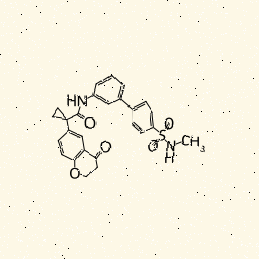 CNS(=O)(=O)c1ccc(-c2cccc(NC(=O)C3(c4ccc5c(c4)C(=O)CCO5)CC3)c2)cc1